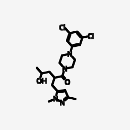 Cc1cc(CC(CC(C)O)C(=O)N2CCN(c3cc(Cl)cc(Cl)c3)CC2)n(C)n1